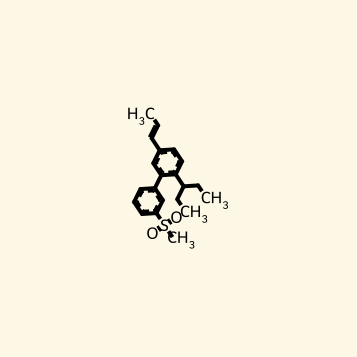 C/C=C/c1ccc(C(CC)CC)c(-c2cccc(S(C)(=O)=O)c2)c1